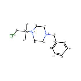 C[Si](C)(CCl)N1CCN(Cc2ccccc2)CC1